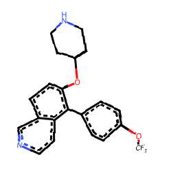 FC(F)(F)Oc1ccc(-c2c(OC3CCNCC3)ccc3cnccc23)cc1